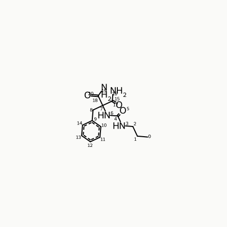 CCCNC(=O)NC(Cc1ccccc1)(C(N)=O)C(N)=O